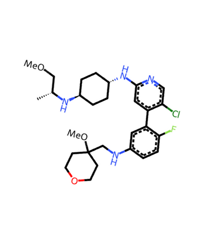 COC[C@@H](C)N[C@H]1CC[C@H](Nc2cc(-c3cc(NCC4(OC)CCOCC4)ccc3F)c(Cl)cn2)CC1